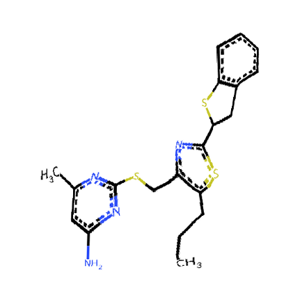 CCCc1sc(C2Cc3ccccc3S2)nc1CSc1nc(C)cc(N)n1